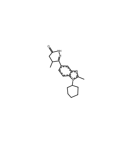 Cc1nc2cc(C3=NNC(=O)CC3C)ccc2n1C1CCCCC1